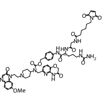 COc1ccc2ncc(=O)n(CCN3CCC(N(Cc4ccc5c(n4)NC(=O)CO5)C(=O)OCc4ccc(NC(=O)[C@H](CCCNC(N)=O)NC(=O)CNC(=O)CCCCCN5C(=O)C=CC5=O)cc4)CC3)c2c1